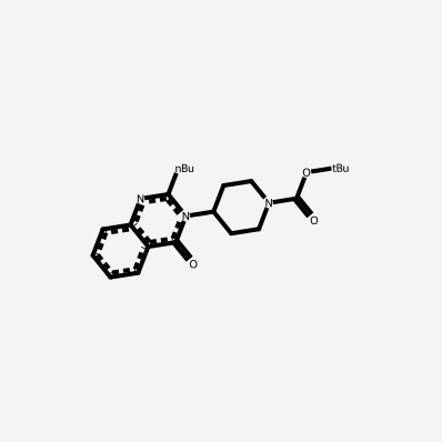 CCCCc1nc2ccccc2c(=O)n1C1CCN(C(=O)OC(C)(C)C)CC1